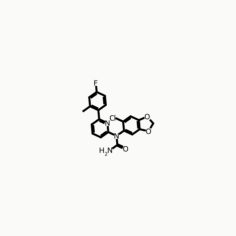 Cc1cc(F)ccc1-c1cccc(N(C(N)=O)c2cc3c(cc2Cl)OCO3)n1